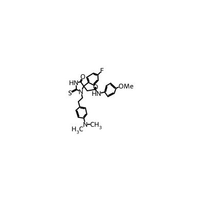 COc1ccc(NC(=O)CC2(c3ccc(F)cc3)C(=O)NC(=S)N2CCc2ccc(N(C)C)cc2)cc1